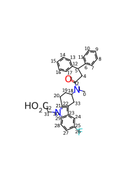 CN(C(=O)CC(c1ccccc1)c1ccccc1)C1CCc2c(c3cc(F)ccc3n2CC(=O)O)C1